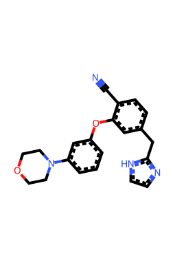 N#Cc1ccc(Cc2ncc[nH]2)cc1Oc1cccc(N2CCOCC2)c1